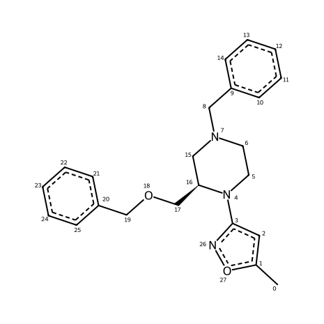 Cc1cc(N2CCN(Cc3ccccc3)C[C@@H]2COCc2ccccc2)no1